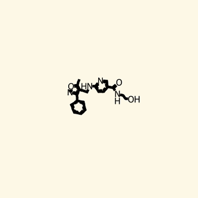 Cc1onc(-c2ccccc2)c1CNc1ccc(C(=O)NCCO)cn1